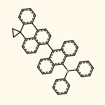 c1ccc(N(c2ccccc2)c2c3ccccc3c(-c3ccc4c5c(cccc35)C3(CC3)c3ccccc3-4)c3ccccc23)cc1